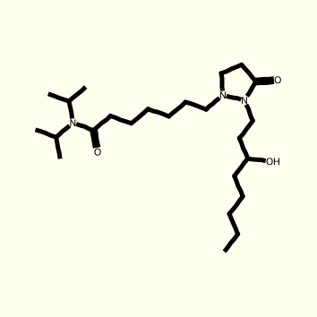 CCCCCC(O)CCN1C(=O)CCN1CCCCCCC(=O)N(C(C)C)C(C)C